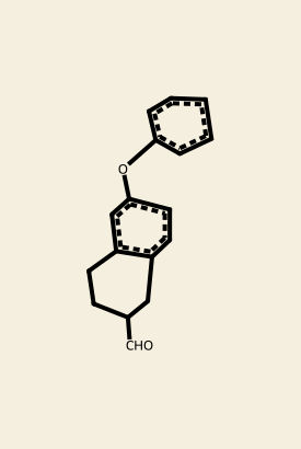 O=CC1CCc2cc(Oc3ccccc3)ccc2C1